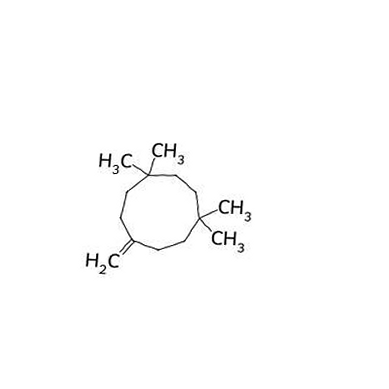 C=C1CCC(C)(C)CCC(C)(C)CC1